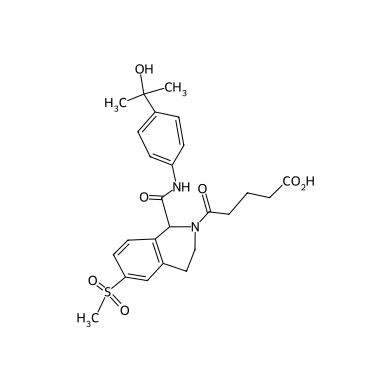 CC(C)(O)c1ccc(NC(=O)C2c3ccc(S(C)(=O)=O)cc3CCN2C(=O)CCCC(=O)O)cc1